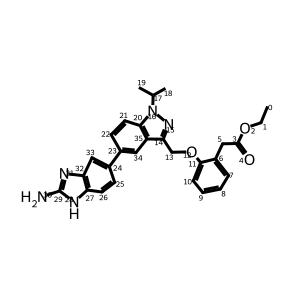 CCOC(=O)Cc1ccccc1OCc1nn(C(C)C)c2ccc(-c3ccc4[nH]c(N)nc4c3)cc12